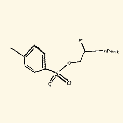 CCCCCC(F)COS(=O)(=O)c1ccc(C)cc1